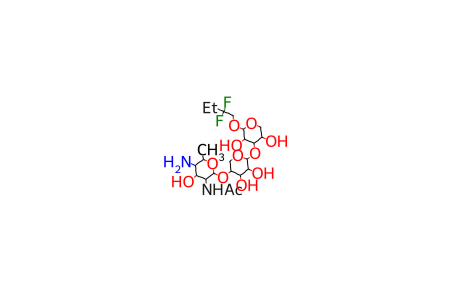 CCC(F)(F)COC1OCC(O)C(OC2OCC(OC3OC(C)C(N)C(O)C3NC(C)=O)C(O)C2O)C1O